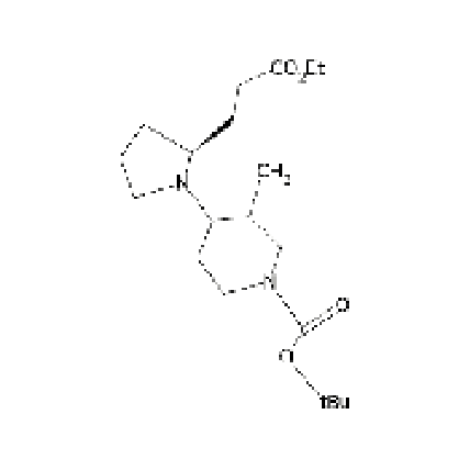 CCOC(=O)CC[C@@H]1CCCN1C1CCN(C(=O)OC(C)(C)C)CC1C